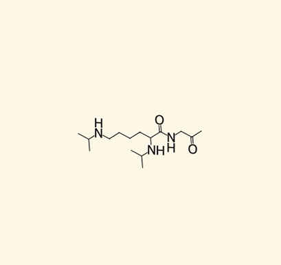 CC(=O)CNC(=O)C(CCCCNC(C)C)NC(C)C